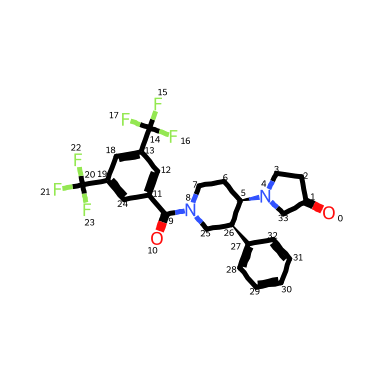 O=C1CCN([C@@H]2CCN(C(=O)c3cc(C(F)(F)F)cc(C(F)(F)F)c3)C[C@@H]2c2ccccc2)C1